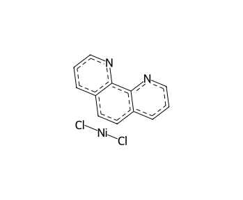 [Cl][Ni][Cl].c1cnc2c(c1)ccc1cccnc12